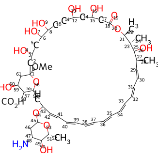 COC12CC(O)CC(O)C(O)CCC(O)CC(O)CC(=O)O[C@@H](C)[C@H](C)C(O)[C@@H](C)/C=C/C=C/C=C/C=C/C=C/C=C/C=C/C(OC3C[C@@H](N)C(O)[C@@H](C)O3)C[C@H](O1)C(C(=O)O)[C@@H](O)C2